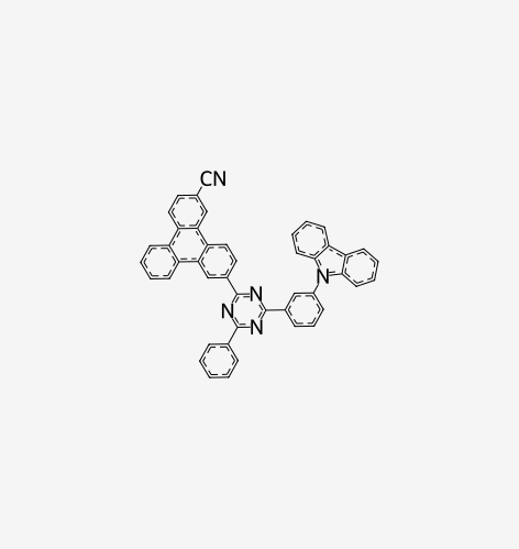 N#Cc1ccc2c3ccccc3c3cc(-c4nc(-c5ccccc5)nc(-c5cccc(-n6c7ccccc7c7ccccc76)c5)n4)ccc3c2c1